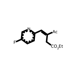 CCOC(=O)C/C(=C\c1ccc(F)cn1)C(C)=O